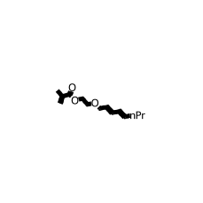 C=C(C)C(=O)OCCOC/C=C/C=C/CCC